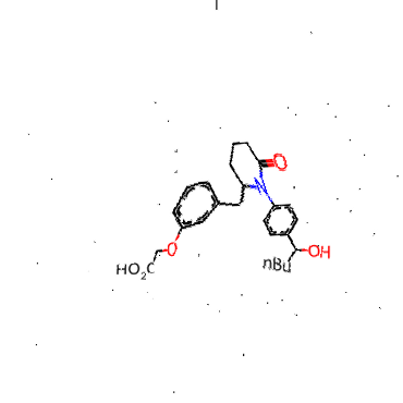 CCCCC(O)c1ccc(N2C(=O)CCCC2Cc2cccc(OCC(=O)O)c2)cc1